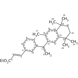 C=C(c1cccc(/C=C/C(=O)OCC)c1)c1cc2c(cc1C)C(C)(C)CCC2(C)C